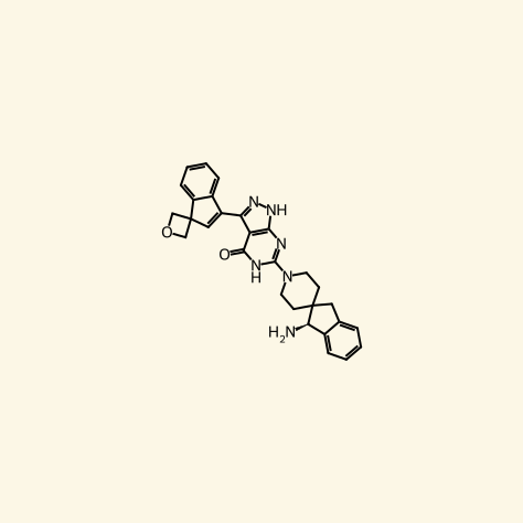 N[C@@H]1c2ccccc2CC12CCN(c1nc3[nH]nc(C4=CC5(COC5)c5ccccc54)c3c(=O)[nH]1)CC2